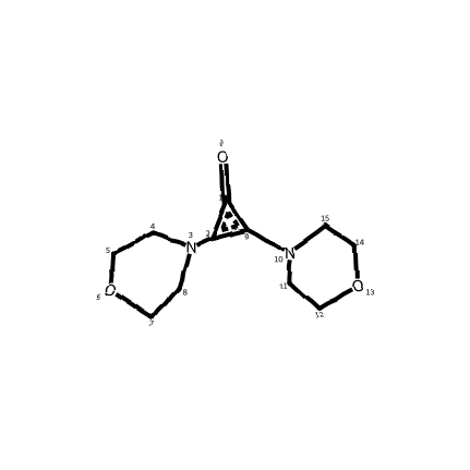 O=c1c(N2CCOCC2)c1N1CCOCC1